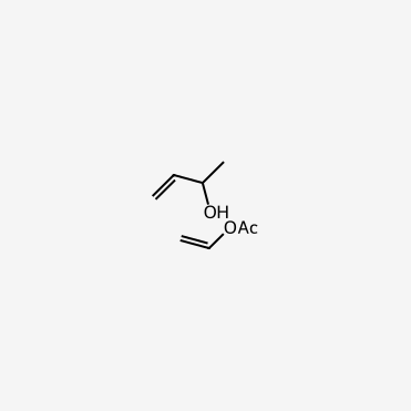 C=CC(C)O.C=COC(C)=O